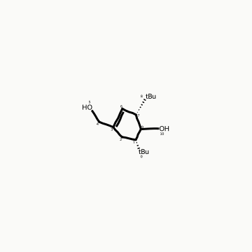 CC(C)(C)[C@@H]1CC(CO)=C[C@H](C(C)(C)C)C1O